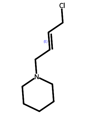 ClC/C=C/CN1CCCCC1